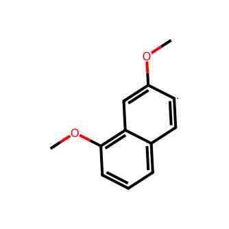 COc1[c]cc2cccc(OC)c2c1